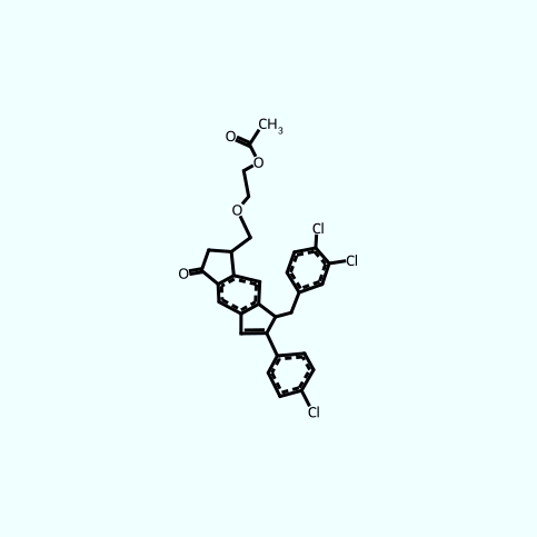 CC(=O)OCCOCC1CC(=O)c2cc3c(cc21)C(Cc1ccc(Cl)c(Cl)c1)C(c1ccc(Cl)cc1)=C3